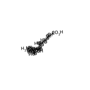 CC(C)(COP(=O)(O)OP(=O)(O)OC[C@H]1O[C@@H](n2cnc3c(N)ncnc32)[C@H](O)[C@@H]1OP(=O)(O)O)[C@@H](O)C(=O)NCCC(=O)NCCSC(=O)CC(=O)CCCC(=O)O